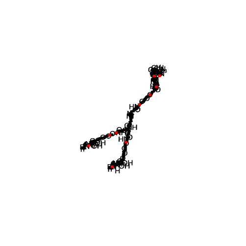 CC1(C)C(=O)c2ccc(-c3cnc(N4CCN5C(=O)N(CCCOCCOCCOCCCNC(=O)CCCc6cn(CCCCCC(=O)NC(COCCC(=O)NCCOCCOCCOCCOC[C@H]7OC[C@H](Nc8nccc(C(F)(F)F)n8)[C@@H](O)[C@H]7O)COCCC(=O)NCCOCCOCCOCCOC[C@H]7OC[C@H](Nc8nccc(C(F)(F)F)n8)[C@@H](O)[C@H]7O)nn6)C[C@@H]5C4)nc3)nc2N1Cc1cccnc1C#N